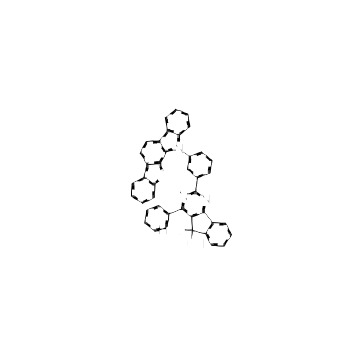 CC1(C)c2ccccc2-c2nc(-c3cccc(-n4c5ccccc5c5ccc6c7ccccc7oc6c54)c3)nc(-c3ccccc3)c21